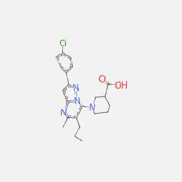 CCCc1c(C)nc2cc(-c3ccc(Cl)cc3)nn2c1N1CCCC(C(=O)O)C1